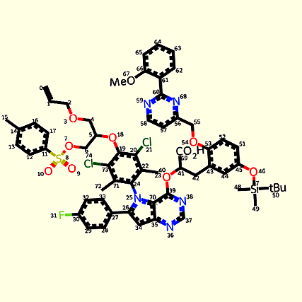 C=CCOCC(COS(=O)(=O)c1ccc(C)cc1)Oc1c(Cl)c(C)c(-n2c(-c3ccc(F)cc3)cc3ncnc(OC(Cc4cc(O[Si](C)(C)C(C)(C)C)ccc4OCc4ccnc(-c5ccccc5OC)n4)C(=O)O)c32)c(C)c1Cl